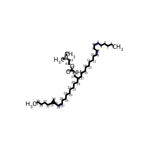 CCCCC/C=C\C/C=C\CCCCCCCCC(CCCCCCCC/C=C\C1C=C1CCCCC)CNC(=O)OCCN(C)C